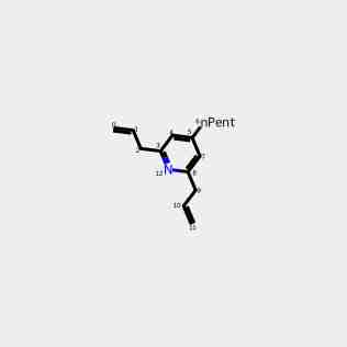 C=CCc1cc(CCCCC)cc(CC=C)n1